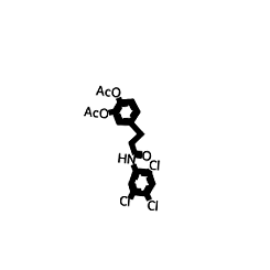 CC(=O)Oc1ccc(CCC(=O)Nc2cc(Cl)c(Cl)cc2Cl)cc1OC(C)=O